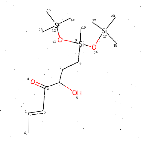 CC=CC(=O)C(O)CC[Si](C)(O[Si](C)(C)C)O[Si](C)(C)C